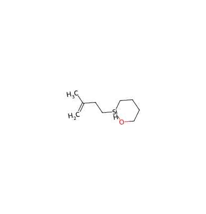 C=C(C)CC[SiH]1CCCCO1